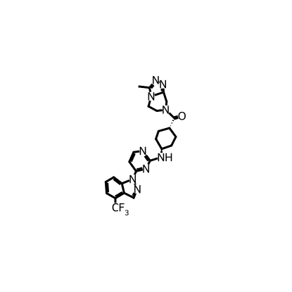 Cc1nnc2n1CCN(C(=O)[C@H]1CC[C@H](Nc3nccc(-n4ncc5c(C(F)(F)F)cccc54)n3)CC1)C2